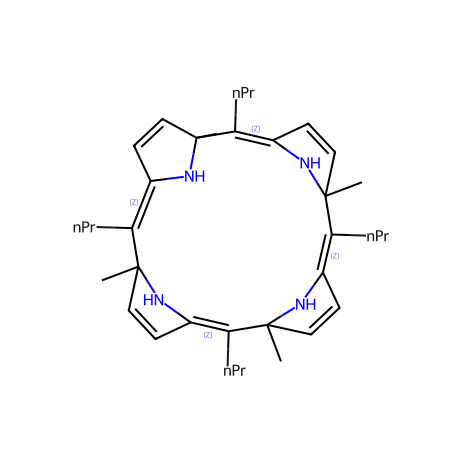 CCC/C1=C2\C=CC(C)(N2)/C(CCC)=C2/C=CC(C)(N2)/C(CCC)=C2/C=CC(C)(N2)/C(CCC)=C2/C=CC1(C)N2